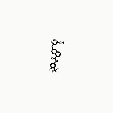 O=C(Nc1ccc(F)c(C(F)(F)F)c1)c1cccc2cc(Cc3cc(O)ncn3)ccc12